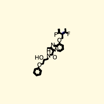 C=C(F)/C(COc1cccn2c(C(=O)NCC(O)COc3ccccc3)c(C)nc12)=C(\C)F